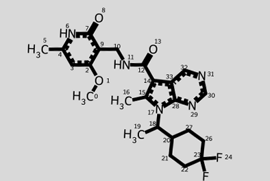 COc1cc(C)[nH]c(=O)c1CNC(=O)c1c(C)n(C(C)C2CCC(F)(F)CC2)c2ncncc12